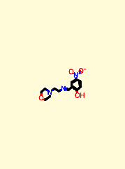 O=[N+]([O-])c1ccc(O)c(/C=N/CCN2CCOCC2)c1